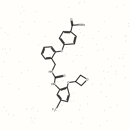 CNC(=O)c1ccc(Oc2ccccc2CNC(=O)Nc2cc(C(F)(F)F)ccc2OC2COC2)cc1